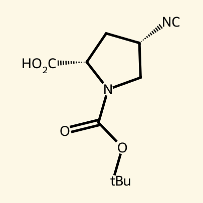 [C-]#[N+][C@H]1C[C@@H](C(=O)O)N(C(=O)OC(C)(C)C)C1